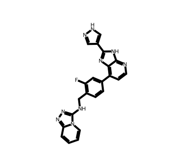 Fc1cc(-c2ccnc3[nH]c(-c4cn[nH]c4)nc23)ccc1CNc1nnc2ccccn12